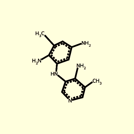 Cc1cncc(Nc2cc(N)cc(C)c2N)c1N